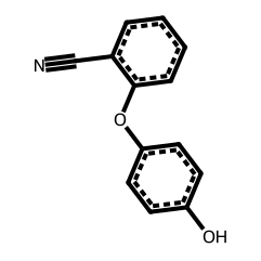 N#Cc1ccccc1Oc1ccc(O)cc1